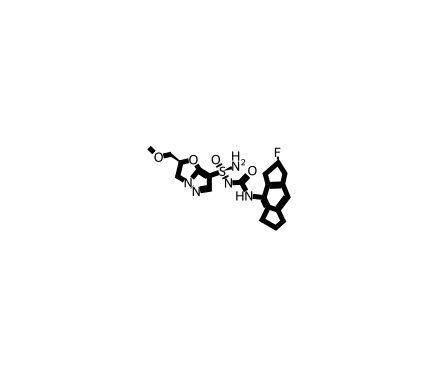 COC[C@@H]1Cn2ncc([S@](N)(=O)=NC(=O)Nc3c4c(cc5c3C[C@H](F)C5)CCC4)c2O1